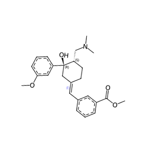 COC(=O)c1cccc(/C=C2\CC[C@@H](CN(C)C)[C@@](O)(c3cccc(OC)c3)C2)c1